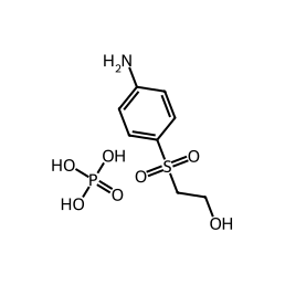 Nc1ccc(S(=O)(=O)CCO)cc1.O=P(O)(O)O